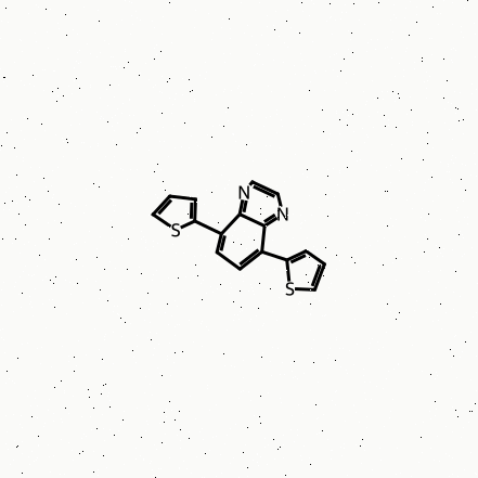 c1csc(-c2ccc(-c3cccs3)c3nccnc23)c1